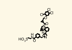 O=C(NCCS(=O)(=O)O)c1cccc(Cn2cc(-c3cccc4c3[C@H]3C[C@H]3CN4C(=O)C3CC3COc3cc(Cl)c(Cl)cc3Cl)cn2)c1